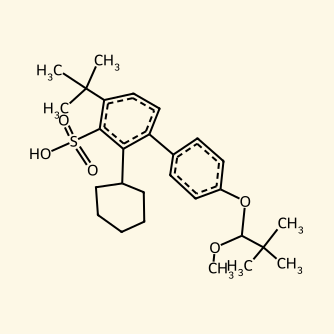 COC(Oc1ccc(-c2ccc(C(C)(C)C)c(S(=O)(=O)O)c2C2CCCCC2)cc1)C(C)(C)C